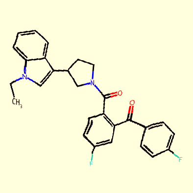 CCn1cc(C2CCN(C(=O)c3ccc(F)cc3C(=O)c3ccc(F)cc3)C2)c2ccccc21